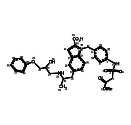 COC(=O)CS(=O)(=O)Nc1ccc(Cn2c(C(=O)O)cc3cc(CC(C)NCC(O)COc4ccccc4)ccc32)cc1